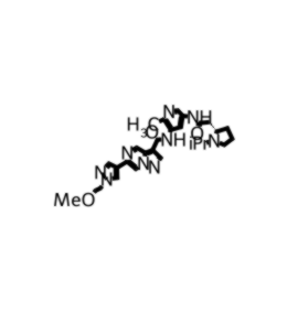 COCCn1cc(-c2cn3ncc(C(=O)Nc4cc(NC(=O)C[C@@H]5CCCN5C(C)C)cnc4C)c3cn2)cn1